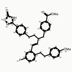 COC(=O)c1ccc(CC(C=Cc2cc(F)ccc2CCc2ccc(OC)cc2)CCc2ccc(-c3noc(=O)[nH]3)cc2)cc1